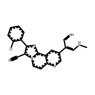 CN/C=C(\C=N)c1cnc2ccn3c(C#N)c(-c4ccccc4Cl)nc3c2c1